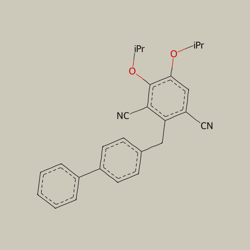 CC(C)Oc1cc(C#N)c(Cc2ccc(-c3ccccc3)cc2)c(C#N)c1OC(C)C